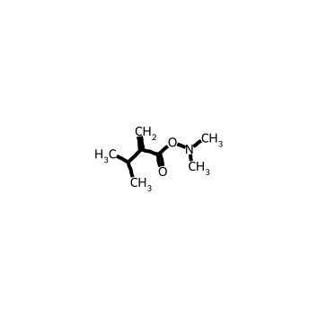 C=C(C(=O)ON(C)C)C(C)C